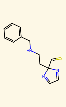 S=CC1(CCNCc2ccccc2)N=CC=N1